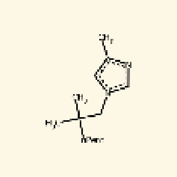 CCCCCC(C)(C)Cn1cnc(C)c1